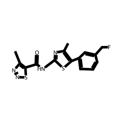 Cc1nnsc1C(=O)Nc1nc(C)c(-c2cccc(CF)c2)s1